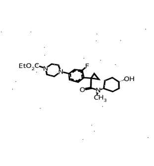 CCOC(=O)N1CCN(c2ccc(C3(C(=O)N(C)[C@H]4CC[C@H](O)CC4)CC3)c(F)c2)CC1